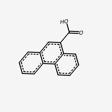 O=C(O)c1[c]c2ccccc2c2ccccc12